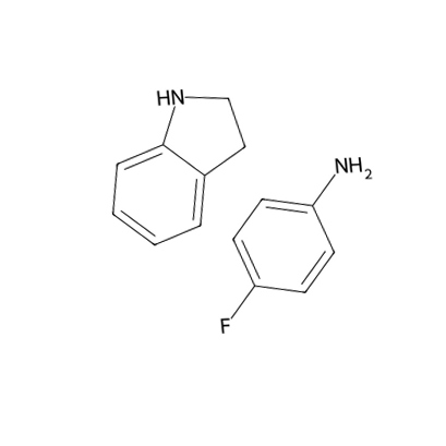 Nc1ccc(F)cc1.c1ccc2c(c1)CCN2